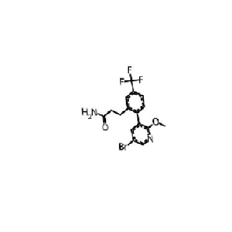 COc1ncc(Br)cc1-c1ccc(C(F)(F)F)cc1CCC(N)=O